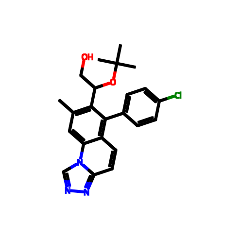 Cc1cc2c(ccc3nncn32)c(-c2ccc(Cl)cc2)c1C(CO)OC(C)(C)C